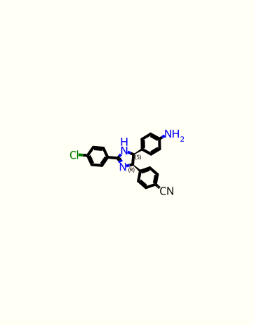 N#Cc1ccc([C@H]2N=C(c3ccc(Cl)cc3)N[C@H]2c2ccc(N)cc2)cc1